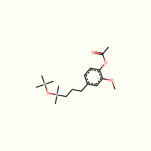 COc1cc(CCC[Si](C)(C)O[Si](C)(C)C)ccc1OC(C)=O